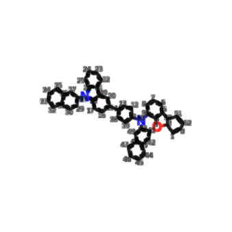 C1=CC2Oc3c(cccc3N(c3ccc(-c4ccc5c(c4)c4ccccc4n5-c4ccc5ccccc5c4)cc3)c3ccc4ccccc4c3)C2C=C1